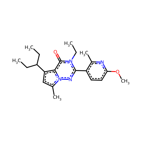 CCC(CC)c1cc(C)n2nc(-c3ccc(OC)nc3C)n(CC)c(=O)c12